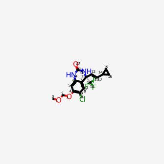 COCOc1cc2c(cc1Cl)[C@@](/C=C/C1CC1)(C(F)(F)F)NC(=O)N2